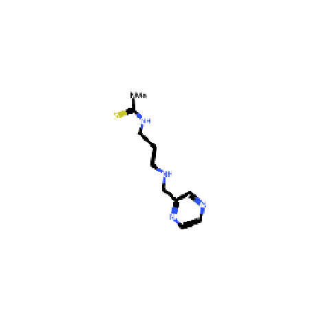 CNC(=S)NCCCNCc1cnccn1